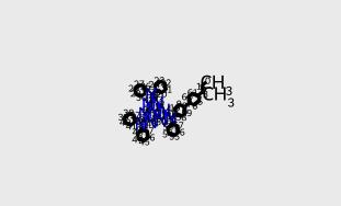 CCC(C)c1ccc(-c2ccc(N(C3=NC4=NC(N(c5ccccc5)c5ccccc5)=NC5=NC(N(c6ccccc6)c6ccccc6)=NC(=N3)N54)c3ccccc3)cc2)cc1